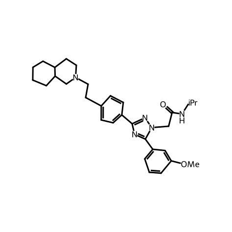 COc1cccc(-c2nc(-c3ccc(CCN4CCC5CCCCC5C4)cc3)nn2CC(=O)NC(C)C)c1